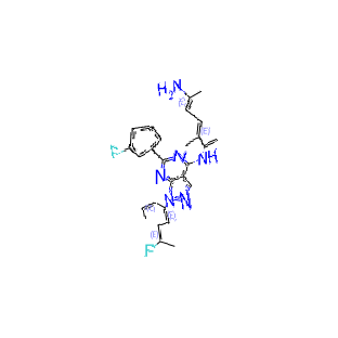 C=C(Nc1nc(-c2cccc(F)c2)nc2c1cnn2C(/C=C\C)=C/C=C(\C)F)/C(C)=C/C=C(\C)N